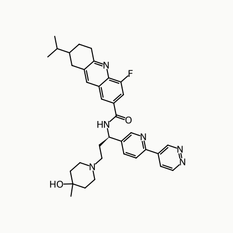 CC(C)C1CCc2nc3c(F)cc(C(=O)N[C@H](CCN4CCC(C)(O)CC4)c4ccc(-c5ccnnc5)nc4)cc3cc2C1